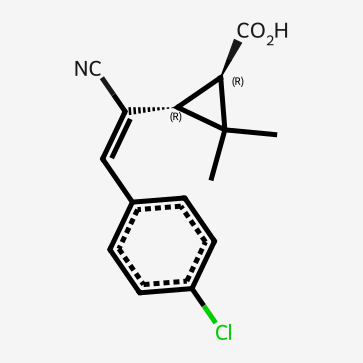 CC1(C)[C@H](C(=O)O)[C@H]1C(C#N)=Cc1ccc(Cl)cc1